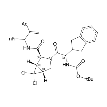 C=C(C(C)=O)C(CCC)NC(=O)[C@@H]1[C@@H]2[C@H](CN1C(=O)[C@@H](NC(=O)OC(C)(C)C)C1Cc3ccccc3C1)C2(Cl)Cl